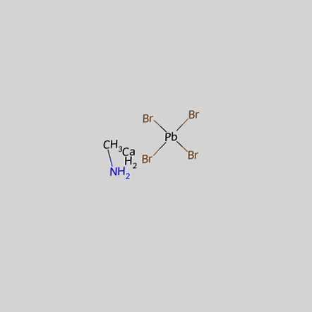 CN.[Br][Pb]([Br])([Br])[Br].[CaH2]